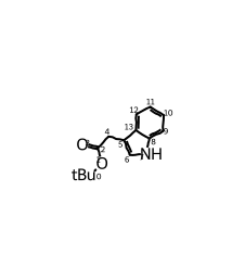 CC(C)(C)OC(=O)Cc1c[nH]c2ccccc12